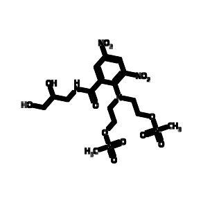 CS(=O)(=O)OCCN(CCOS(C)(=O)=O)c1c(C(=O)NCC(O)CO)cc([N+](=O)[O-])cc1[N+](=O)[O-]